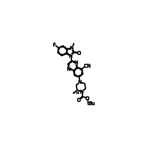 C[C@H]1CN(c2cc(C#N)c3nc(-n4c(=O)n(C)c5cc(F)ccc54)cnc3c2)CCN1C(=O)OC(C)(C)C